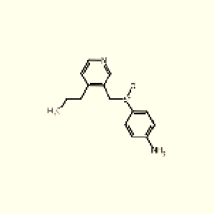 CCCc1ccncc1C[S+]([O-])c1ccc(N)cc1